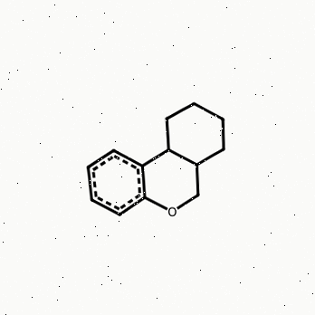 c1ccc2c(c1)OCC1CCCCC21